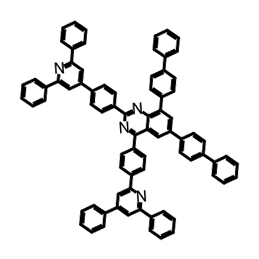 c1ccc(-c2ccc(-c3cc(-c4ccc(-c5ccccc5)cc4)c4nc(-c5ccc(-c6cc(-c7ccccc7)nc(-c7ccccc7)c6)cc5)nc(-c5ccc(-c6cc(-c7ccccc7)cc(-c7ccccc7)n6)cc5)c4c3)cc2)cc1